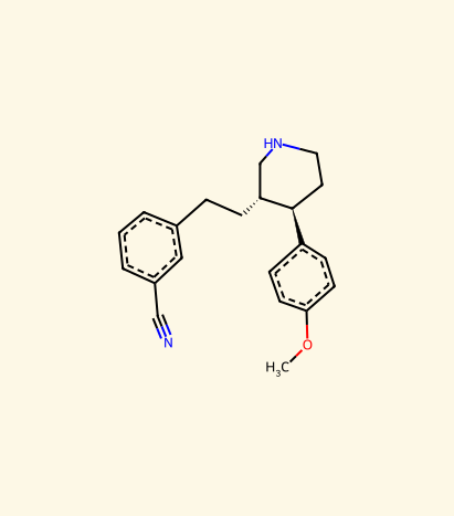 COc1ccc([C@@H]2CCNC[C@H]2CCc2cccc(C#N)c2)cc1